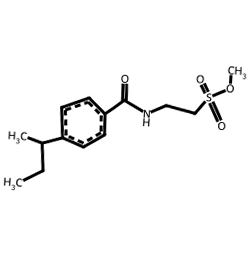 CCC(C)c1ccc(C(=O)NCCS(=O)(=O)OC)cc1